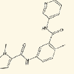 Cc1ccc(NC(=O)c2cccn2C)cc1C(=O)Nc1cccnc1